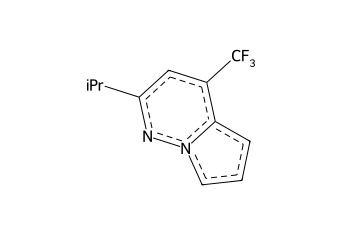 CC(C)c1cc(C(F)(F)F)c2cccn2n1